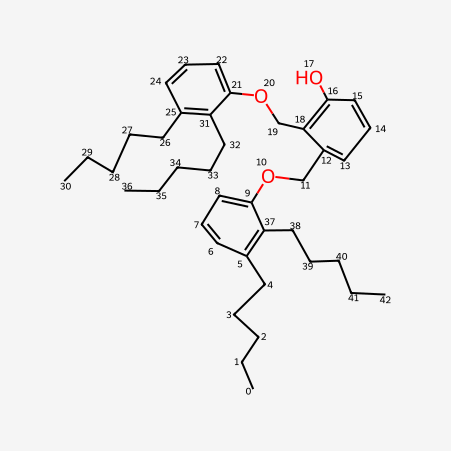 CCCCCc1cccc(OCc2cccc(O)c2COc2cccc(CCCCC)c2CCCCC)c1CCCCC